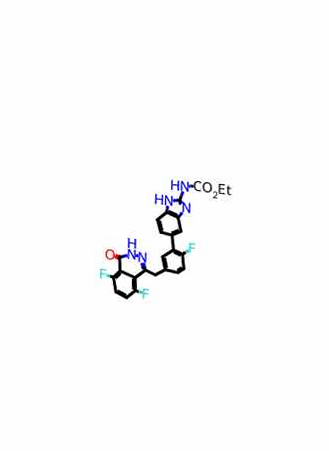 CCOC(=O)Nc1nc2cc(-c3cc(Cc4n[nH]c(=O)c5c(F)ccc(F)c45)ccc3F)ccc2[nH]1